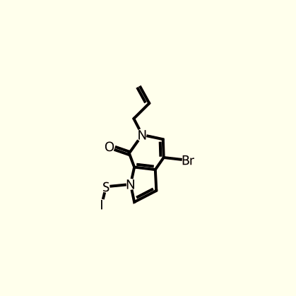 C=CCn1cc(Br)c2ccn(SI)c2c1=O